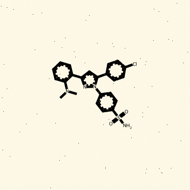 CN(C)c1ccccc1-c1cc(-c2ccc(Cl)cc2)n(-c2ccc(S(N)(=O)=O)cc2)n1